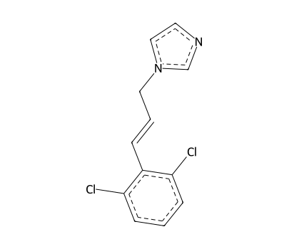 Clc1cccc(Cl)c1C=CCn1ccnc1